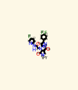 CC(C)N1Cc2c(n(CC(=O)Nc3ccc(F)cn3)c3cc(C4=CCC(F)(F)CC4)nn3c2=O)C1=O